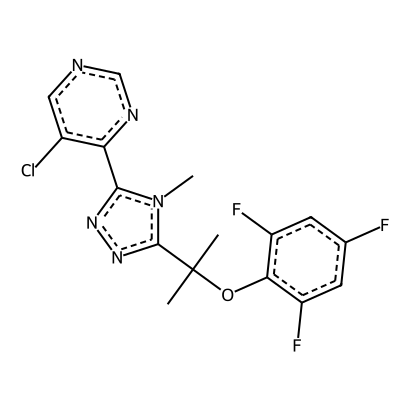 Cn1c(-c2ncncc2Cl)nnc1C(C)(C)Oc1c(F)cc(F)cc1F